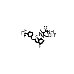 Cc1nn(-c2ccc(F)c3cc(Cc4cccc(C(F)(F)F)c4)sc23)c(CO)c1C(N)=O